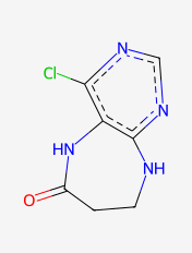 O=C1CCNc2ncnc(Cl)c2N1